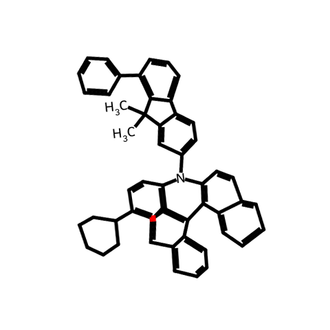 CC1(C)c2cc(N(c3ccc(C4CCCCC4)cc3)c3ccc4ccccc4c3-c3cccc4ccccc34)ccc2-c2cccc(-c3ccccc3)c21